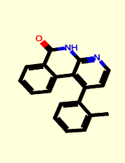 Cc1ccccc1-c1ccnc2[nH]c(=O)c3ccccc3c12